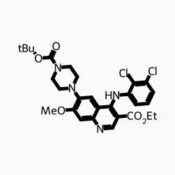 CCOC(=O)c1cnc2cc(OC)c(N3CCN(C(=O)OC(C)(C)C)CC3)cc2c1Nc1cccc(Cl)c1Cl